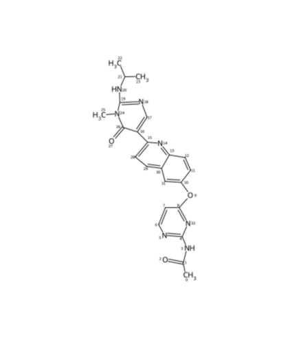 CC(=O)Nc1nccc(Oc2ccc3nc(-c4cnc(NC(C)C)n(C)c4=O)ccc3c2)n1